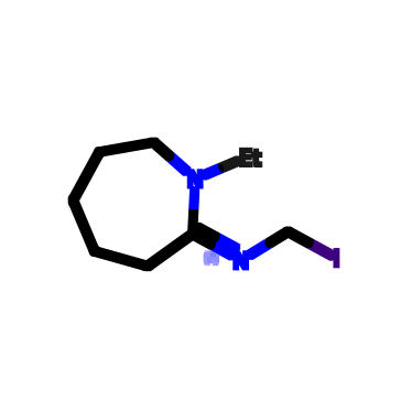 CCN1CCCCC/C1=N/CI